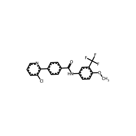 COc1ccc(NC(=O)c2ccc(-c3ncccc3Cl)cc2)cc1C(F)(F)F